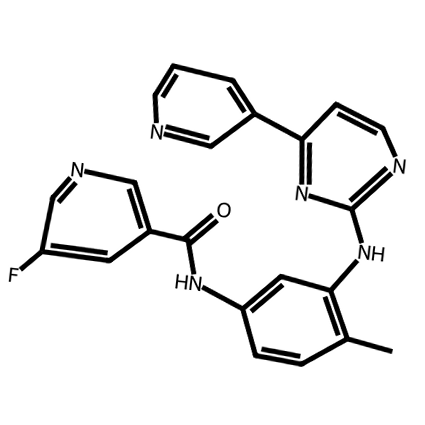 Cc1ccc(NC(=O)c2cncc(F)c2)cc1Nc1nccc(-c2cccnc2)n1